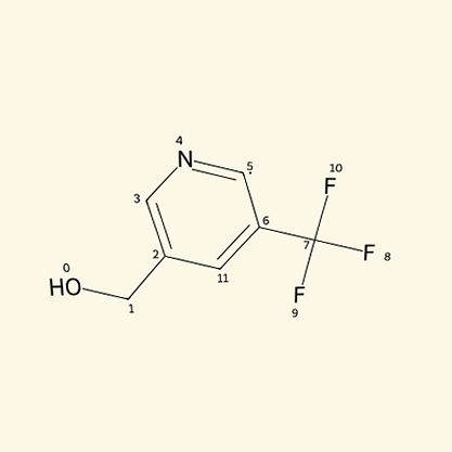 OCc1cn[c]c(C(F)(F)F)c1